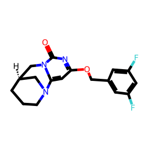 O=c1nc(OCc2cc(F)cc(F)c2)cc2n1C[C@@H]1CCCN2C1